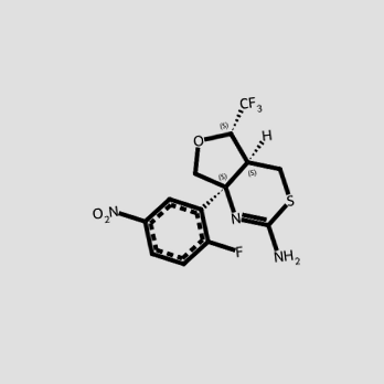 NC1=N[C@@]2(c3cc([N+](=O)[O-])ccc3F)CO[C@H](C(F)(F)F)[C@H]2CS1